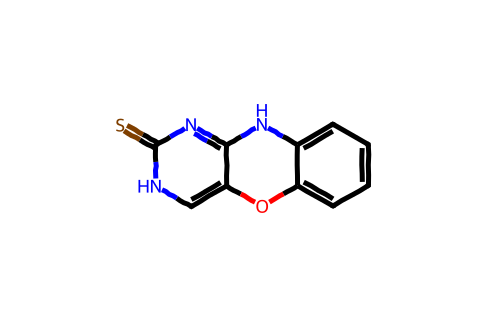 S=c1nc2c(c[nH]1)Oc1ccccc1N2